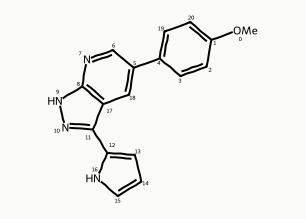 COc1ccc(-c2cnc3[nH]nc(-c4ccc[nH]4)c3c2)cc1